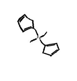 [CH3][Fe]([CH3])([C]1=CC=CC1)[C]1=CC=CC1